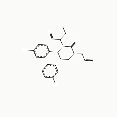 C=CC[C@H]1C[C@H](c2cccc(Cl)c2)[C@@H](c2ccc(Cl)cc2)N(C(C=O)CC)C1=O